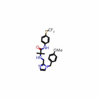 COc1ccc(Cn2ccnc2CNC(C)(C)C(=O)Nc2ccc(SC(F)(F)F)cc2)cc1